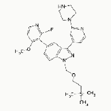 COc1ccnc(F)c1-c1ccc2c(c1)c(-c1ccnc(N3CCNCC3)c1)nn2COCC[Si](C)(C)C